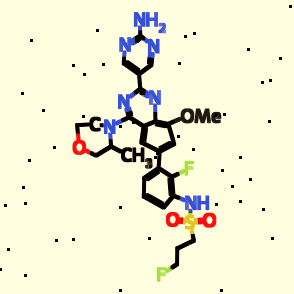 COc1cc(-c2cccc(NS(=O)(=O)CCCF)c2F)cc2c(N3CCOCC3C)nc(-c3cnc(N)nc3)nc12